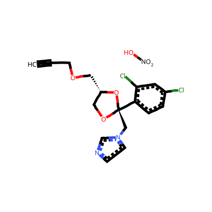 C#CCOC[C@H]1CO[C@@](Cn2ccnc2)(c2ccc(Cl)cc2Cl)O1.O=[N+]([O-])O